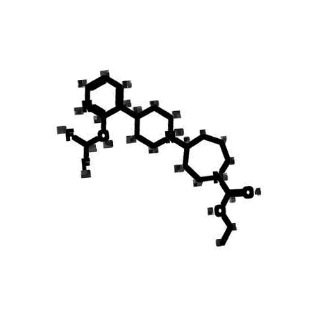 CCOC(=O)N1CCCC(N2CCC(c3cccnc3OC(F)F)CC2)CC1